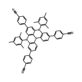 Cc1cc(C)c(B2c3cc(-c4ccc(C#N)cc4)ccc3N3c4ccc(-c5ccc(C#N)cc5)cc4B(c4c(C)cc(C)cc4C)c4cc(-c5ccc(C#N)cc5)cc2c43)c(C)c1